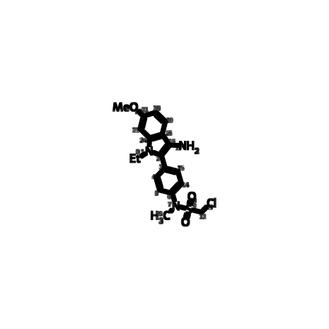 CCn1c(-c2ccc(N(C)S(=O)(=O)CCl)cc2)c(N)c2ccc(OC)cc21